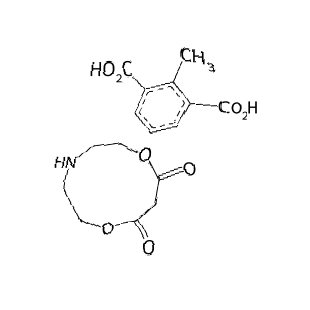 Cc1c(C(=O)O)cccc1C(=O)O.O=C1CC(=O)OCCNCCO1